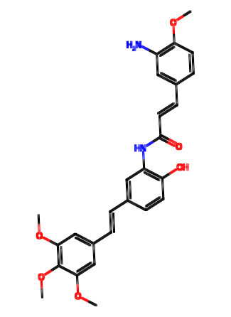 COc1ccc(/C=C/C(=O)Nc2cc(/C=C/c3cc(OC)c(OC)c(OC)c3)ccc2O)cc1N